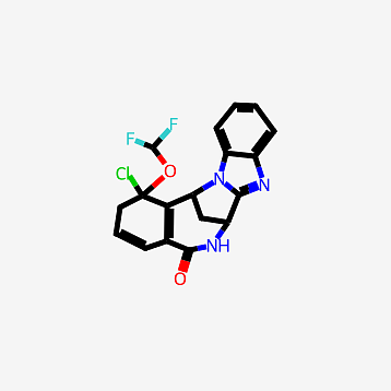 O=C1NC2CC(C3=C1C=CCC3(Cl)OC(F)F)n1c2nc2ccccc21